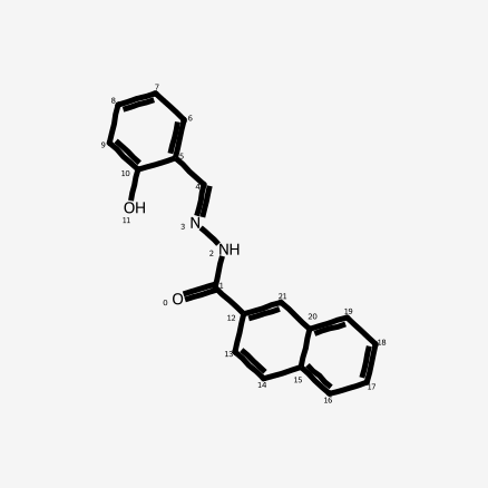 O=C(NN=Cc1ccccc1O)c1ccc2ccccc2c1